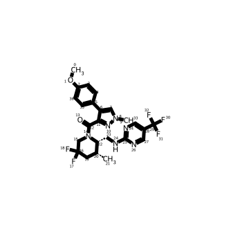 COc1ccc(-c2cn(C)nc2C(=O)N2CC(F)(F)C[C@@H](C)[C@H]2CNc2ncc(C(F)(F)F)cn2)cc1